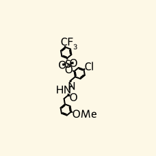 COc1cccc(CC(=O)N/N=C/c2ccc(Cl)cc2OS(=O)(=O)c2ccc(C(F)(F)F)cc2)c1